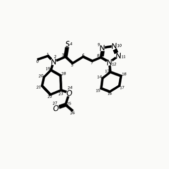 CCN(C(=S)CCCc1nnnn1C1CCCCC1)C1CCCC(OC(C)=O)C1